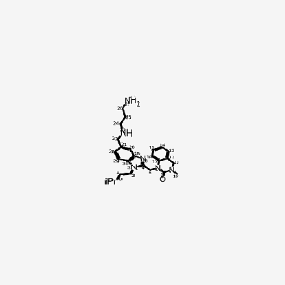 CC(C)CCn1c(CN2C(=O)N(C)Cc3ccccc32)nc2cc(CNCCCN)ccc21